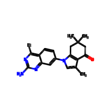 CCc1nc(N)nc2cc(-n3cc(C)c4c3CC(C)(C)CC4=O)ccc12